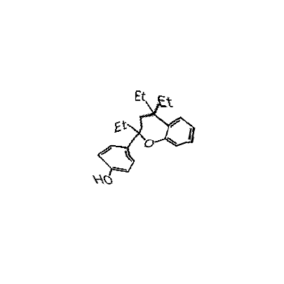 CCC1(CC)CC(CC)(c2ccc(O)cc2)Oc2ccccc21